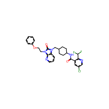 O=C(NC1CCC(Cn2c(=O)n(CCOc3ccccc3)c3ncccc32)CC1)c1cc(Cl)cnc1C(F)F